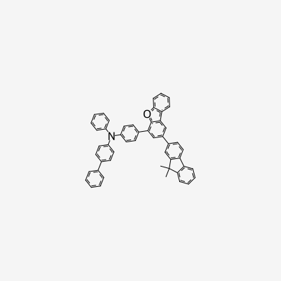 CC1(C)c2ccccc2-c2ccc(-c3cc(-c4ccc(N(c5ccccc5)c5ccc(-c6ccccc6)cc5)cc4)c4oc5ccccc5c4c3)cc21